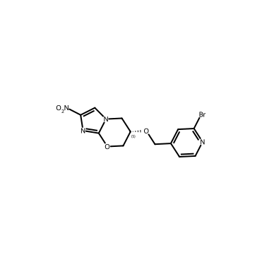 O=[N+]([O-])c1cn2c(n1)OC[C@@H](OCc1ccnc(Br)c1)C2